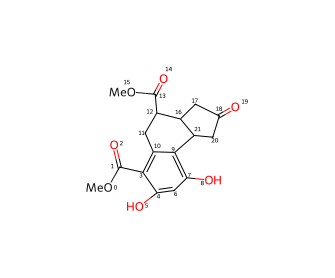 COC(=O)c1c(O)cc(O)c2c1CC(C(=O)OC)C1CC(=O)CC21